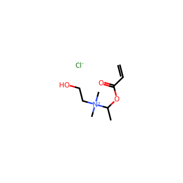 C=CC(=O)OC(C)[N+](C)(C)CCO.[Cl-]